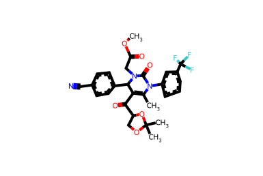 COC(=O)CN1C(=O)N(c2cccc(C(F)(F)F)c2)C(C)=C(C(=O)C2COC(C)(C)O2)C1c1ccc(C#N)cc1